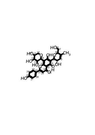 CC1=C[C@H](O)C(c2c(O)c(C3OCC(O)C(O)C3O)c3oc(-c4ccc(O)cc4)cc(=O)c3c2O)OC1CO